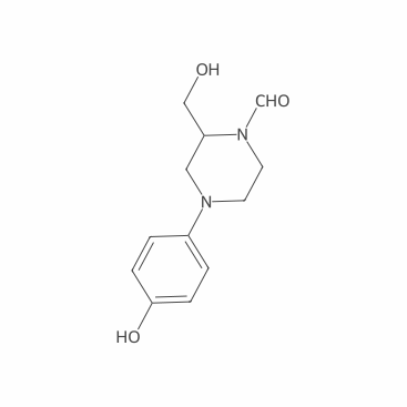 O=CN1CCN(c2ccc(O)cc2)CC1CO